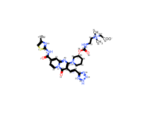 CC(C)(C)c1csc(NC(=O)c2ccn3c(=O)c(/C=C/c4nn[nH]n4)c(N4CCC[C@@H](OC(=O)NCC[N+](C)(C)CC(=O)[O-])C4)nc3c2)n1